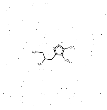 Cc1noc(CC(C)C[N+](=O)[O-])c1[N+](=O)[O-]